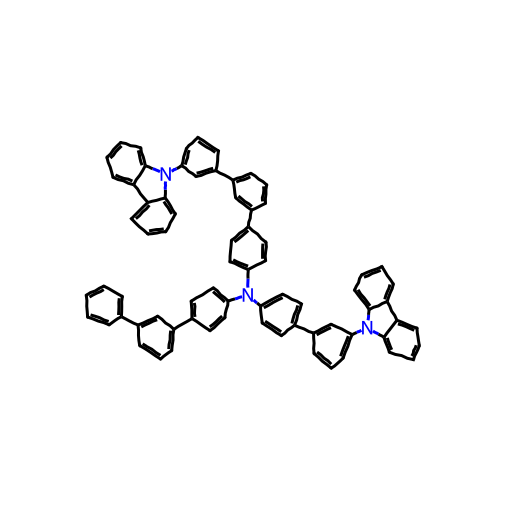 c1ccc(-c2cccc(-c3ccc(N(c4ccc(-c5cccc(-c6cccc(-n7c8ccccc8c8ccccc87)c6)c5)cc4)c4ccc(-c5cccc(-n6c7ccccc7c7ccccc76)c5)cc4)cc3)c2)cc1